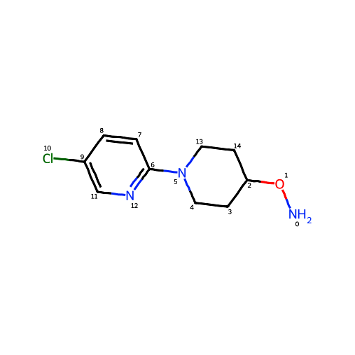 NOC1CCN(c2ccc(Cl)cn2)CC1